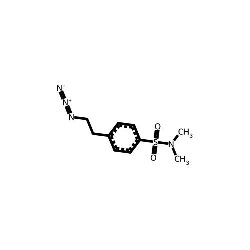 CN(C)S(=O)(=O)c1ccc(CCN=[N+]=[N-])cc1